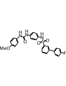 COc1ccc(NC(=O)Nc2ccc(NS(=O)(=O)c3cccc(-c4ccc(F)cc4)c3)cc2)cc1